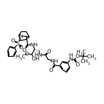 COC(O)[C@@H](CNC(=O)CNC(=O)c1cccc(NC(=O)OC(C)(C)C)c1)NC(=O)C1C2CCC(CC2)N1S(=O)(=O)c1ccccc1